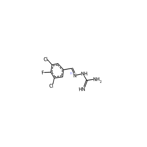 N=C(N)N/N=C/c1cc(Cl)c(F)c(Cl)c1